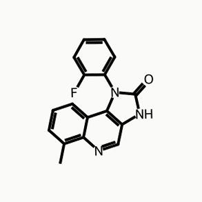 Cc1cccc2c1ncc1[nH]c(=O)n(-c3ccccc3F)c12